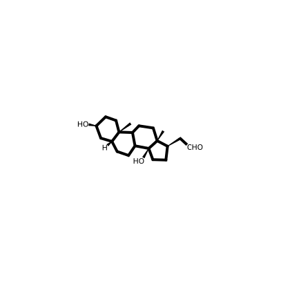 C[C@]12CC[C@H](O)C[C@H]1CCC1C2CC[C@]2(C)[C@@H](CC=O)CC[C@]12O